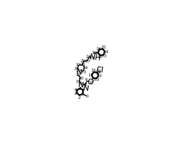 Cc1cccc2c1nc(COc1ccc(Cl)cc1)n2CCCN1CCC(CCCNCc2ccccc2)CC1